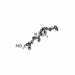 CC(C)(CCc1cc(COc2cccc(C3CCN(Cc4nc5ccc(C(=O)O)cc5n4C[C@@H]4CCO4)CC3)n2)c2cnccc2c1)OC(=O)c1ccc2nc(CN3CCC(c4cccc(OCc5cccc6ccncc56)n4)CC3)n(C[C@@H]3CCO3)c2c1